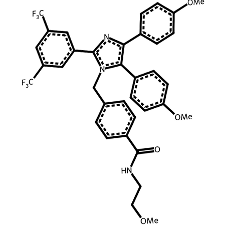 COCCNC(=O)c1ccc(Cn2c(-c3cc(C(F)(F)F)cc(C(F)(F)F)c3)nc(-c3ccc(OC)cc3)c2-c2ccc(OC)cc2)cc1